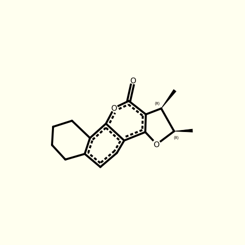 C[C@@H]1c2c(c3ccc4c(c3oc2=O)CCCC4)O[C@@H]1C